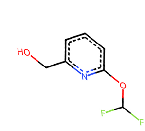 OCc1cccc(OC(F)F)n1